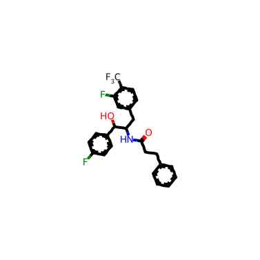 O=C(CCc1ccccc1)NC(Cc1ccc(C(F)(F)F)c(F)c1)C(O)c1ccc(F)cc1